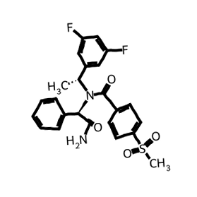 C[C@H](c1cc(F)cc(F)c1)N(C(=O)c1ccc(S(C)(=O)=O)cc1)[C@@H](C(N)=O)c1ccccc1